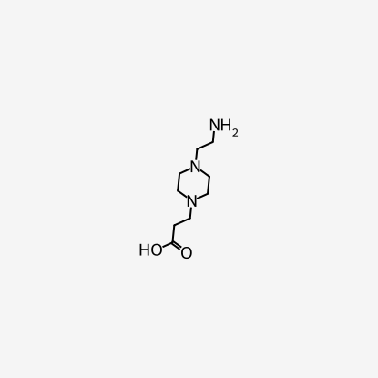 NCCN1CCN(CCC(=O)O)CC1